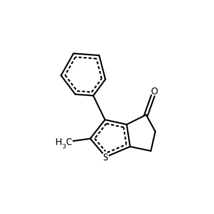 Cc1sc2c(c1-c1ccccc1)C(=O)CC2